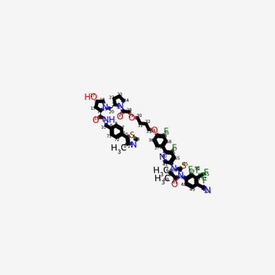 Cc1ncsc1-c1ccc(CNC(=O)[C@@H]2C[C@@H](O)CN2C[C@@H]2CCCN2C(=O)COCCCCOc2ccc(-c3ncc(N4C(=S)N(c5ccc(C#N)c(C(F)(F)F)c5F)C(=O)C4(C)C)cc3F)cc2F)cc1